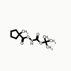 CC(C)(C)OC(=O)NOC(=O)C1(C)CCCC1